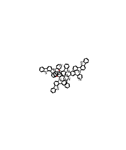 c1ccc(-c2nc(-c3cc(-c4cnccc4-n4c5ccccc5c5c6sc7ccccc7c6ccc54)ccc3-n3c4ccccc4c4c5sc6ccccc6c5ccc43)nc(-c3cc(-c4cnccc4-n4c5ccccc5c5c6sc7ccccc7c6ccc54)ccc3-n3c4ccccc4c4c5sc6ccccc6c5ccc43)n2)cc1